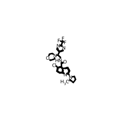 C[C@H]1CCCN1c1ccc2c(C(=O)NCC(c3cnc(C(F)(F)F)nc3)N3CCOCC3)c(Cl)ccc2n1